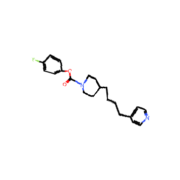 O=C(Oc1ccc(F)cc1)N1CCC(CCCCc2ccncc2)CC1